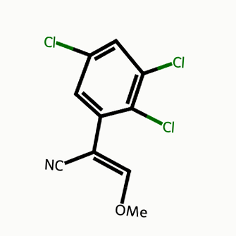 COC=C(C#N)c1cc(Cl)cc(Cl)c1Cl